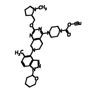 Cc1ccc2c(cnn2C2CCCCO2)c1N1CCc2c(nc(OCC3CCCN3C)nc2N2CCN(C(=O)OC(C)(C)C)CC2)C1